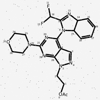 CC(=O)OCCn1ncc2c(N3C(C(F)F)=NC4C=CC=CC43)nc(N3CCOCC3)nc21